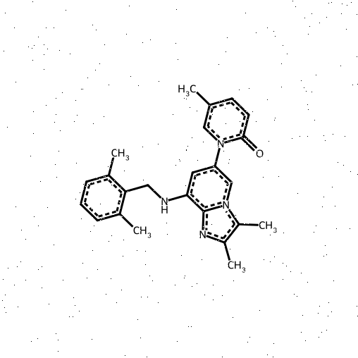 Cc1ccc(=O)n(-c2cc(NCc3c(C)cccc3C)c3nc(C)c(C)n3c2)c1